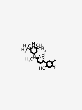 CN(C(=N)/C=C\C(=N)c1cc(F)c(F)cc1O)C1CC(C)(C)NC(C)(C)C1